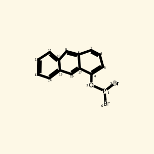 BrP(Br)Oc1cccc2cc3ccccc3cc12